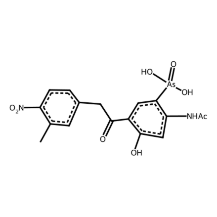 CC(=O)Nc1cc(O)c(C(=O)Cc2ccc([N+](=O)[O-])c(C)c2)cc1[As](=O)(O)O